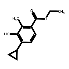 CCOC(=O)c1ccc(C2CC2)c(O)c1C